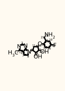 Cc1ncnc2c1ccn2[C@H]1C[C@@H](Oc2ccc(F)cc2CN)[C@@H](O)[C@H]1O